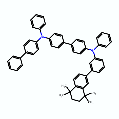 CC1(C)CCC(C)(C)c2cc(-c3cccc(N(c4ccccc4)c4ccc(-c5ccc(N(c6ccccc6)c6ccc(-c7ccccc7)cc6)cc5)cc4)c3)ccc21